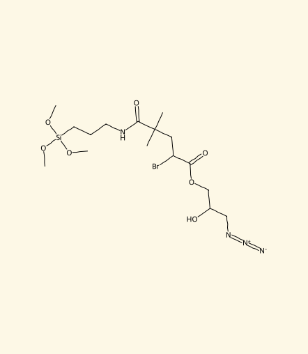 CO[Si](CCCNC(=O)C(C)(C)CC(Br)C(=O)OCC(O)CN=[N+]=[N-])(OC)OC